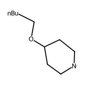 CCCCCOC1CC[N]CC1